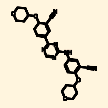 N#CC1=CC(c2ncnc(Nc3ccc(OC4CCOCC4)c(C#N)c3)n2)=CCC1OC1CCOCC1